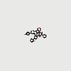 Cc1ccc(-c2ccc3c4ccccc4n(-c4cc(-c5ccccc5F)ccc4-c4nc(-c5ccccc5)nc(-c5ccccc5)n4)c3c2)cc1